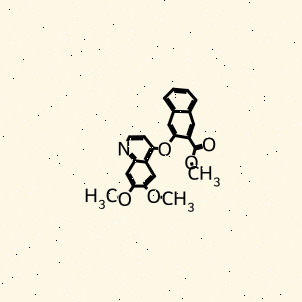 COC(=O)c1cc2ccccc2cc1Oc1ccnc2cc(OC)c(OC)cc12